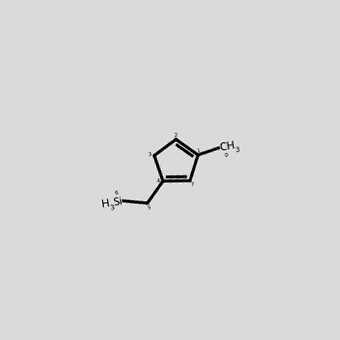 CC1=CCC(C[SiH3])=C1